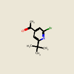 CC(=O)c1cc(Br)nc(C(C)(C)C)c1